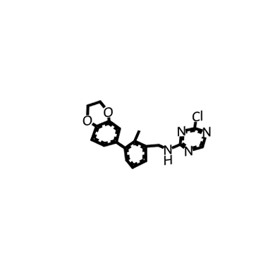 Cc1c(CNc2ncnc(Cl)n2)cccc1-c1ccc2c(c1)OCCO2